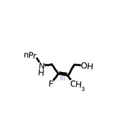 CCCNC/C(F)=C(/C)CO